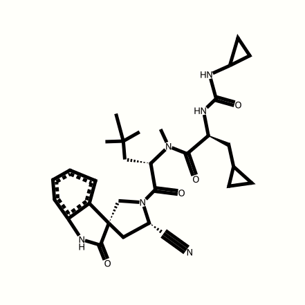 CN(C(=O)[C@H](CC1CC1)NC(=O)NC1CC1)[C@@H](CC(C)(C)C)C(=O)N1C[C@]2(C[C@H]1C#N)C(=O)Nc1ccccc12